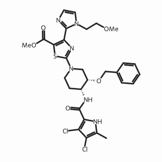 COCCn1ccnc1-c1nc(N2CC[C@@H](NC(=O)c3[nH]c(C)c(Cl)c3Cl)[C@@H](OCc3ccccc3)C2)sc1C(=O)OC